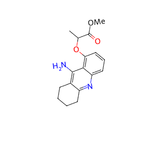 COC(=O)C(C)Oc1cccc2nc3c(c(N)c12)CCCC3